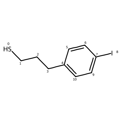 SCCCc1ccc(I)cc1